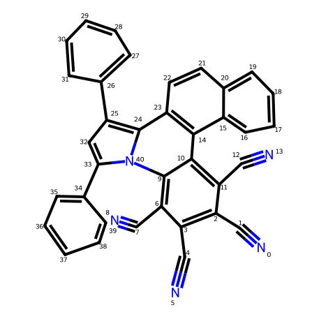 N#Cc1c(C#N)c(C#N)c2c(c1C#N)c1c3ccccc3ccc1c1c(-c3ccccc3)cc(-c3ccccc3)n12